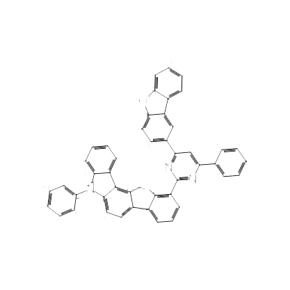 c1ccc(-c2cc(-c3ccc4oc5ccccc5c4c3)nc(-c3cccc4c3oc3c4ccc4c3c3ccccc3n4-c3ccccc3)n2)cc1